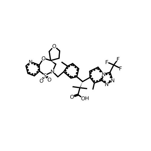 Cc1ccc([C@H](c2ccn3c(C(F)(F)F)nnc3c2C)C(C)(C)C(=O)O)cc1CN1C[C@@]2(CCOC2)Oc2ncccc2S1(=O)=O